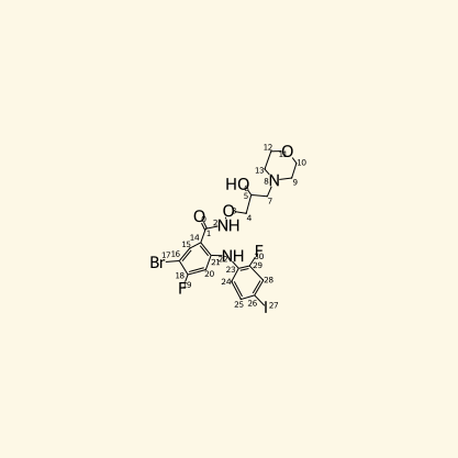 O=C(NOCC(O)CN1CCOCC1)c1cc(Br)c(F)cc1Nc1ccc(I)cc1F